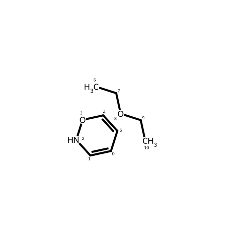 C1=CNOC=C1.CCOCC